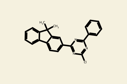 CC1(C)c2ccccc2-c2ccc(-c3nc(Cl)nc(-c4ccccc4)n3)cc21